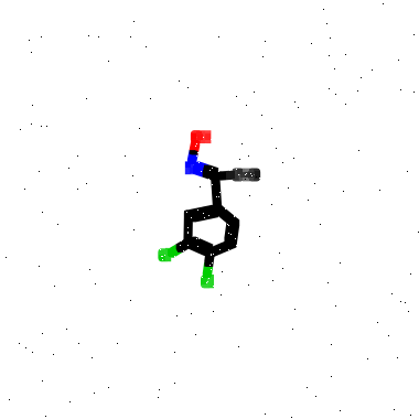 O=CC(=NO)c1ccc(Cl)c(Cl)c1